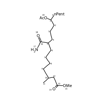 CCCCCC(CCCC(CCCCC(C)CC(=O)OC)C(N)=O)OC(C)=O